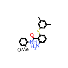 COc1ccccc1NC(=O)c1c(N)cccc1Sc1cc(C)cc(C)c1